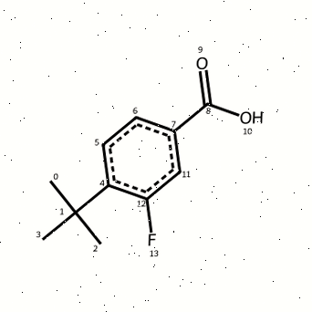 CC(C)(C)c1ccc(C(=O)O)cc1F